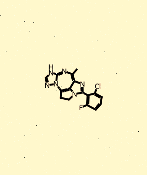 CC1=c2nc(-c3c(F)cccc3Cl)n3c2=C(CC3)N2N=CNC2=N1